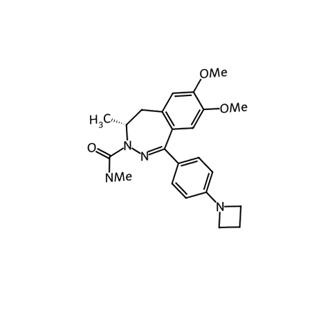 CNC(=O)N1N=C(c2ccc(N3CCC3)cc2)c2cc(OC)c(OC)cc2C[C@H]1C